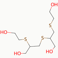 OCCSCC(CO)SCC(CO)SCCO